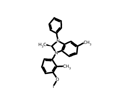 Cc1ccc2c(c1)N(c1ccccc1)[C@H](C)N2c1cccc(OI)c1C